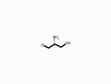 N[C@@H](C[O])CO